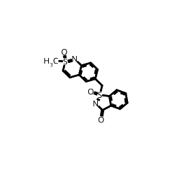 CS1(=O)=Nc2ccc(CS3(=O)=NC(=O)c4ccccc43)cc2C=C1